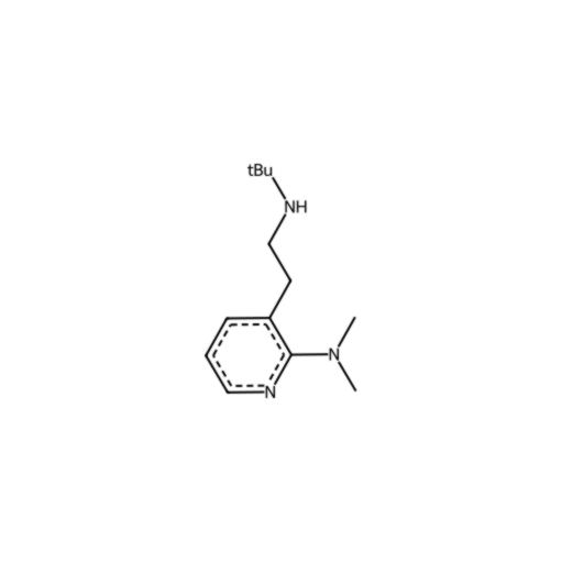 CN(C)c1ncccc1CCNC(C)(C)C